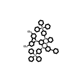 CC(C)(C)c1ccc2c(c1)c1cc(C(C)(C)C)ccc1n2-c1cc2c3c(c1)N(c1ccc([Si](c4ccccc4)(c4ccccc4)c4ccccc4)cc1)c1ccc(-c4ccccc4)cc1B3c1ccccc1N2c1ccc([Si](c2ccccc2)(c2ccccc2)c2ccccc2)cc1